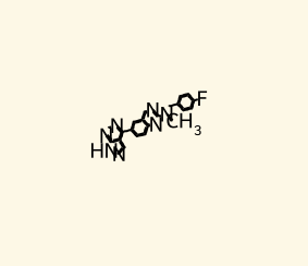 CN(Cc1ccc(F)cc1)c1ncc2cc(-c3ncnc4[nH]ncc34)ccc2n1